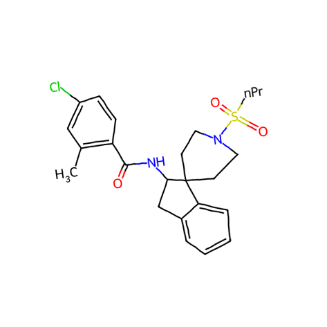 CCCS(=O)(=O)N1CCC2(CC1)c1ccccc1CC2NC(=O)c1ccc(Cl)cc1C